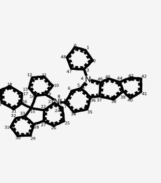 c1ccc(-n2c3cc(Nc4ccccc4C4(c5ccccc5)c5ccccc5-c5ccccc54)ccc3c3cc4ccccc4cc32)cc1